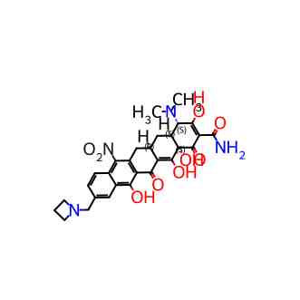 CN(C)[C@@H]1C(O)=C(C(N)=O)C(=O)[C@@]2(O)C(O)=C3C(=O)c4c(c([N+](=O)[O-])c5ccc(CN6CCC6)cc5c4O)C[C@H]3C[C@@H]12